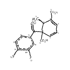 CC1C(C(=O)O)=CC=CC1(C(=O)O)C(=O)c1ccc(F)c(F)c1